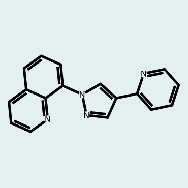 c1ccc(-c2cnn(-c3cccc4cccnc34)c2)nc1